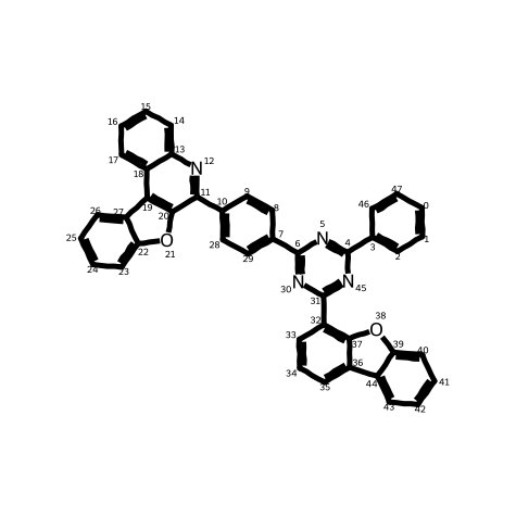 c1ccc(-c2nc(-c3ccc(-c4nc5ccccc5c5c4oc4ccccc45)cc3)nc(-c3cccc4c3oc3ccccc34)n2)cc1